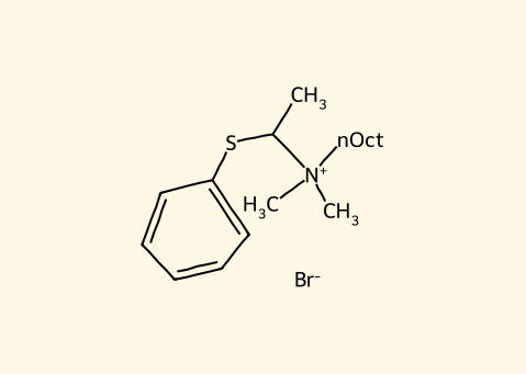 CCCCCCCC[N+](C)(C)C(C)Sc1ccccc1.[Br-]